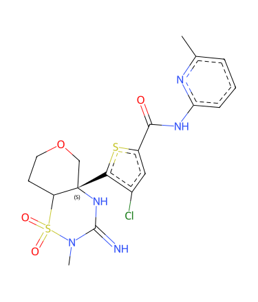 Cc1cccc(NC(=O)c2cc(Cl)c([C@]34COCCC3S(=O)(=O)N(C)C(=N)N4)s2)n1